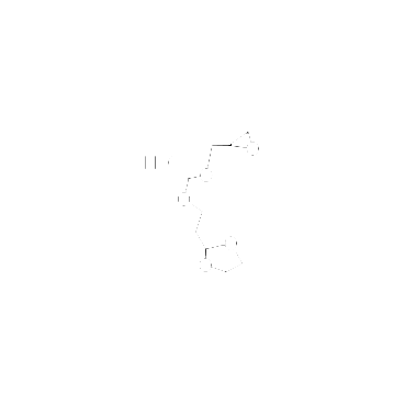 CC(OCCC1OCCO1)OCC1CO1